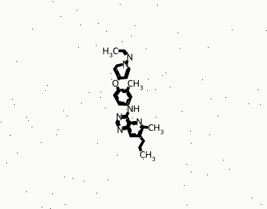 C/C=N\N1C=CC(Oc2ccc(Nc3ncnc4cc(CCC)c(C)nc34)cc2C)=CC1